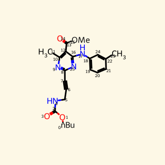 CCCCOC(=O)NCC#Cc1nc(C)c(C(=O)OC)c(Nc2cccc(C)c2)n1